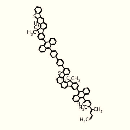 C=C(/C=C\C(=C)c1c2ccccc2c(-c2ccc3c(c2)-c2ccc4ccc5sc6c(-c7ccc(C8=CC=C(c9c%10ccccc%10c(-c%10ccc%11c(c%10)-c%10ccc%12cc%13c(cc%12c%10C%11(C)C)sc%10ccccc%10%13)c%10ccccc9%10)CC8)cc7)cccc6c5c4c2C3(C)C)c2ccccc12)/C(C)=C/C=C\C